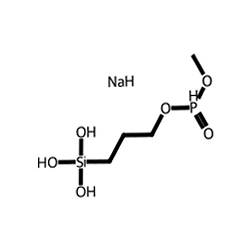 CO[PH](=O)OCCC[Si](O)(O)O.[NaH]